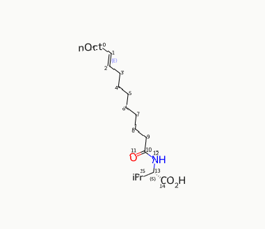 CCCCCCCC/C=C/CCCCCCCC(=O)N[C@H](C(=O)O)C(C)C